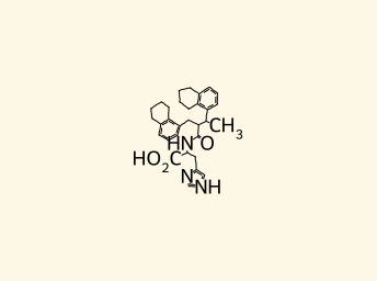 CC(c1cccc2c1CCCC2)C(Cc1cccc2c1CCCC2)C(=O)NC(Cc1c[nH]cn1)C(=O)O